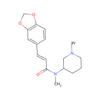 CC(C)N1CCCC(N(C)C(=O)/C=C/c2ccc3c(c2)OCO3)C1